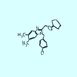 Cc1cc2nc(COC3CCCC3)n(Cc3ccc(Cl)cc3)c2cc1C